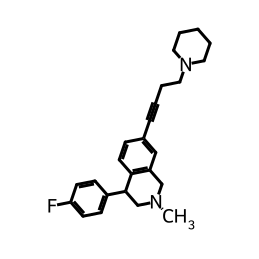 CN1Cc2cc(C#CCCN3CCCCC3)ccc2C(c2ccc(F)cc2)C1